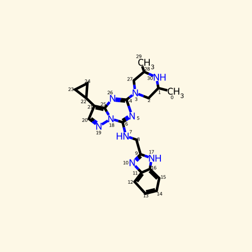 CC1CN(c2nc(NCc3nc4ccccc4[nH]3)n3ncc(C4CC4)c3n2)CC(C)N1